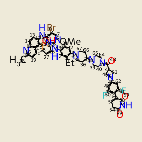 CCc1cc(Nc2ncc(Br)c(Nc3ccc4nc(C)ccc4c3[P]3(O)CC=CC3)n2)c(OC)cc1N1CCC(N2CCN(C(=O)C3CN(c4cc(F)c(C5CCC(=O)NC5=O)c(F)c4)C3)CC2)CC1